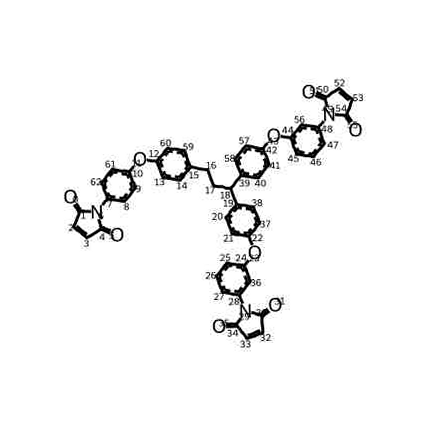 O=C1C=CC(=O)N1c1ccc(Oc2ccc(CCC(c3ccc(Oc4cccc(N5C(=O)C=CC5=O)c4)cc3)c3ccc(Oc4cccc(N5C(=O)C=CC5=O)c4)cc3)cc2)cc1